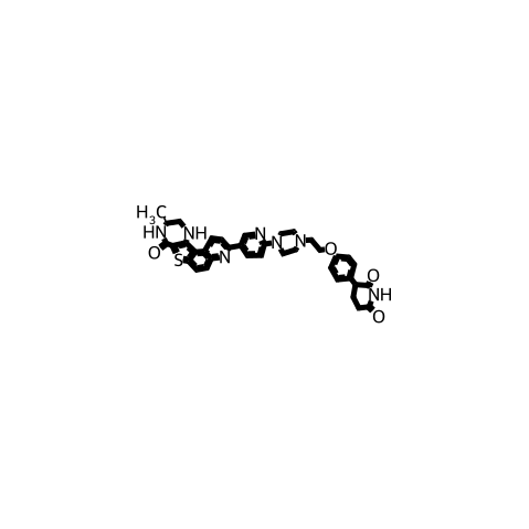 C[C@@H]1CNc2c(sc3ccc4nc(-c5ccc(N6CCN(CCOc7ccc(C8CCC(=O)NC8=O)cc7)CC6)nc5)ccc4c23)C(=O)N1